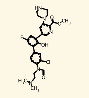 COC(=O)c1ncc(-c2cc(F)cc(-c3ccc(N(C=O)CCN(C)C)c(Cl)c3)c2O)cc1N1CCNCC1